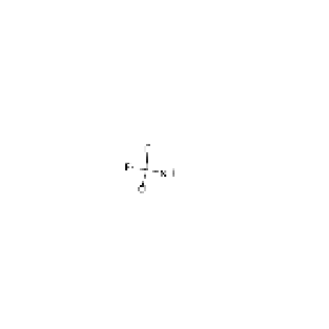 [NH]C(F)(F)Cl